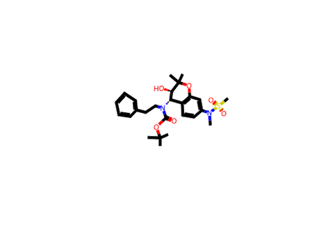 CN(c1ccc2c(c1)OC(C)(C)[C@H](O)[C@H]2N(CCc1ccccc1)C(=O)OC(C)(C)C)S(C)(=O)=O